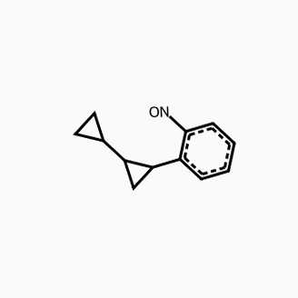 O=Nc1ccccc1C1CC1C1CC1